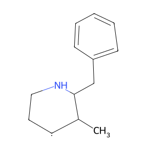 CC1[CH]CCNC1Cc1ccccc1